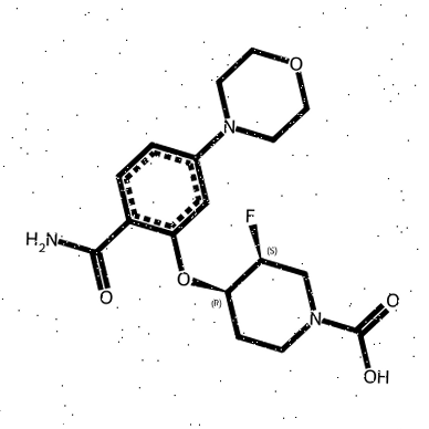 NC(=O)c1ccc(N2CCOCC2)cc1O[C@@H]1CCN(C(=O)O)C[C@@H]1F